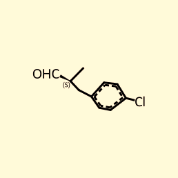 C[C@H](C=O)Cc1ccc(Cl)cc1